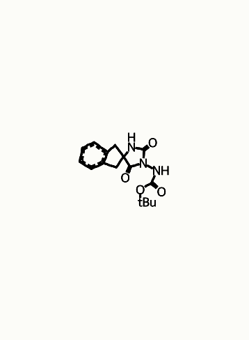 CC(C)(C)OC(=O)NN1C(=O)NC2(Cc3ccccc3C2)C1=O